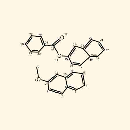 COc1ccc2ccccc2c1.O=C(Oc1ccc2ccccc2c1)c1ccccc1